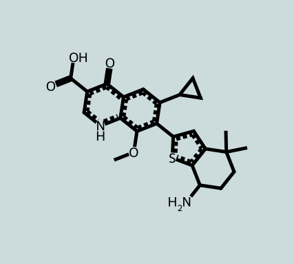 COc1c(-c2cc3c(s2)C(N)CCC3(C)C)c(C2CC2)cc2c(=O)c(C(=O)O)c[nH]c12